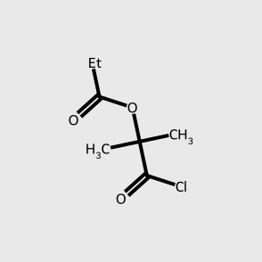 CCC(=O)OC(C)(C)C(=O)Cl